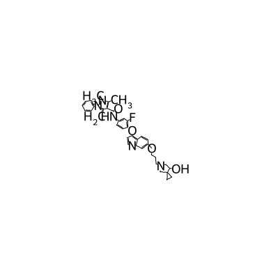 C=C1C(C(=O)Nc2ccc(Oc3ccnc4cc(OCCCN5CC(O)C6(CC6)C5)ccc34)c(F)c2)=C(C)N(C)N1c1ccccc1